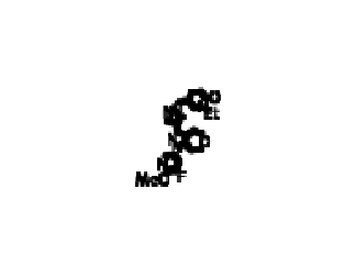 CCN1CC(Cn2cc(-c3nn(-c4cnc(OC)c(F)c4)c4c3CCOCC4)cn2)CCC1=O